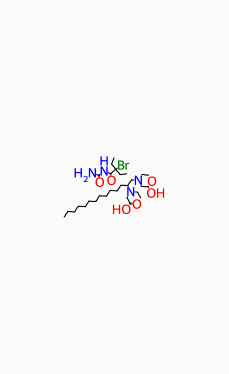 CCC(Br)(CC)C(=O)NC(N)=O.CCCCCCCCCCCCC(CN(CC)CC(=O)O)N(CC)CC(=O)O